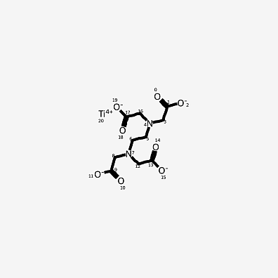 O=C([O-])CN(CCN(CC(=O)[O-])CC(=O)[O-])CC(=O)[O-].[Ti+4]